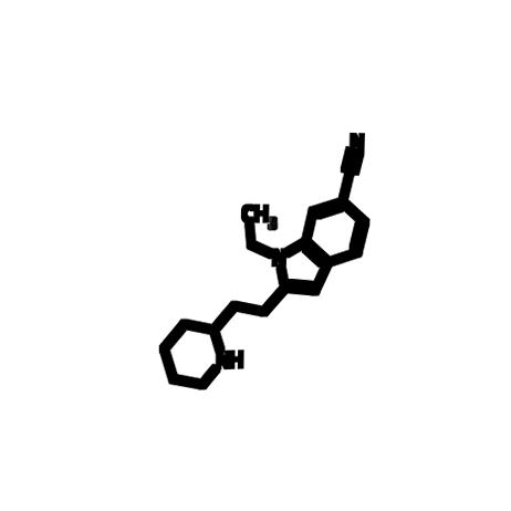 CCn1c(CCC2CCCCN2)cc2ccc(C#N)cc21